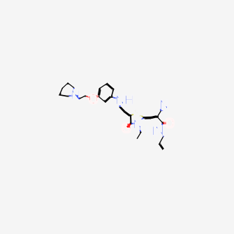 C=CCNC(=O)C(=C=c1sc(=C=CNc2cccc(OCCN3CCCCC3)c2)c(=O)n1CC)C#N